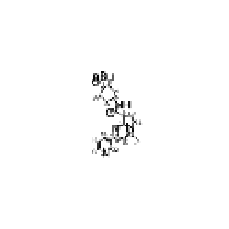 CCCCO[C@H]1CC[C@H](NC(=O)c2ccn3c(C)cc(-c4cccnc4)nc23)CC1